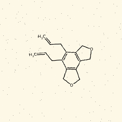 C=CCc1c(CC=C)c2c(c3c1COC3)COC2